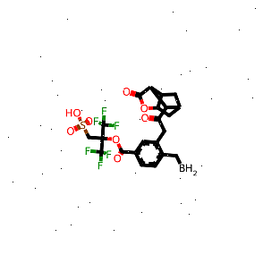 BCc1ccc(C(=O)OC(CS(=O)(=O)O)(C(F)(F)F)C(F)(F)F)cc1CC(=O)C1C2CC3OC(=O)C1C3C2